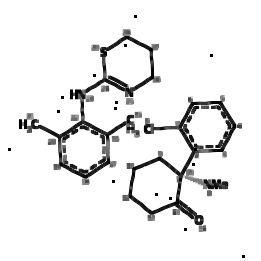 CN[C@@]1(c2ccccc2Cl)CCCCC1=O.Cc1cccc(C)c1NC1=NCCCS1